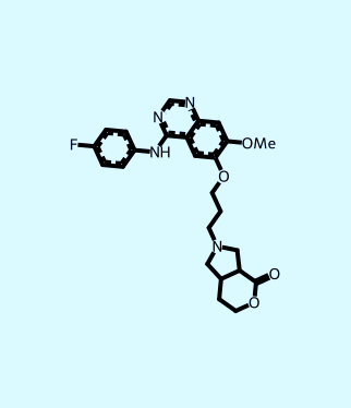 COc1cc2ncnc(Nc3ccc(F)cc3)c2cc1OCCCN1CC2CCOC(=O)C2C1